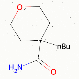 CCCCC1(C(N)=O)CCOCC1